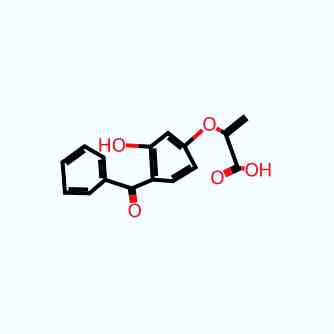 C=C(Oc1ccc(C(=O)c2ccccc2)c(O)c1)C(=O)O